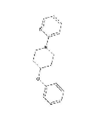 c1ccc(OC2CCN(c3ccccn3)CC2)cc1